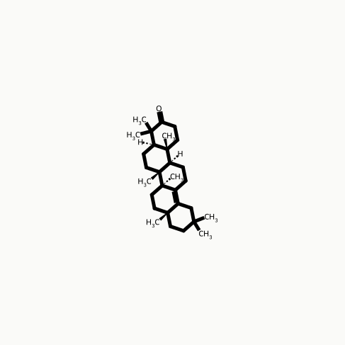 CC1(C)CC[C@]2(C)CC[C@]3(C)C(=C2C1)CC[C@@H]1[C@@]2(C)CCC(=O)C(C)(C)[C@@H]2CC[C@]13C